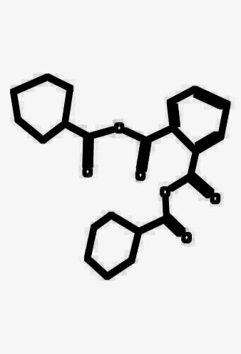 O=C(OC(=O)C1CCCCC1)c1ccccc1C(=O)OC(=O)C1CCCCC1